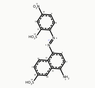 Nc1ccc(/N=N/c2ccc([N+](=O)[O-])cc2S(=O)(=O)O)c2ccc(S(=O)(=O)O)cc12